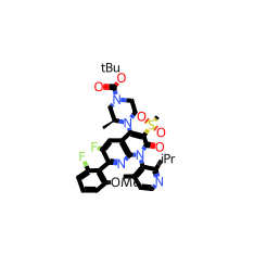 COc1cccc(F)c1-c1nc2c(cc1F)c(N1CCN(C(=O)OC(C)(C)C)C[C@@H]1C)c(S(C)(=O)=O)c(=O)n2-c1c(C)ccnc1C(C)C